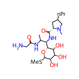 CCC[C@@H]1C[C@@H](C(=O)N[C@H](C(C)NC(=O)CN)[C@H]2OC(SC)[C@H](O)C(O)C2O)N(C)C1